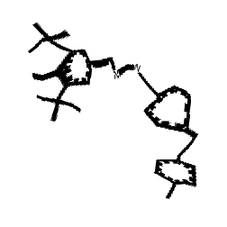 C=c1c(C(C)(C)C)cc(=C/N=N/c2ccc(Cc3ccc(C)cc3)cc2)cc1C(C)(C)C